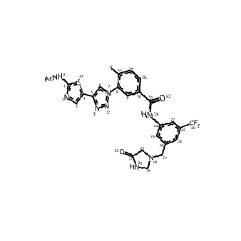 CC(=O)Nc1ncc(-c2cn(-c3cc(C(=O)Nc4cc(CN5CNC(=O)C5)cc(C(F)(F)F)c4)ccc3C)nn2)s1